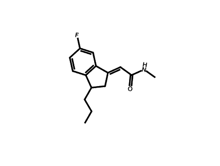 CCCC1CC(=CC(=O)NC)c2cc(F)ccc21